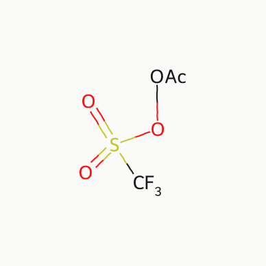 CC(=O)OOS(=O)(=O)C(F)(F)F